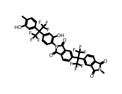 Cc1ccc(C(c2ccc(N3C(=O)c4ccc(C(c5ccc6c(c5)C(=O)N(C)C6=O)(C(F)(F)F)C(F)(F)F)cc4C3=O)c(O)c2)(C(F)(F)F)C(F)(F)F)cc1O